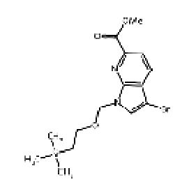 COC(=O)c1ccc2c(Br)cn(COCC[Si](C)(C)C)c2n1